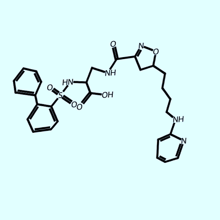 O=C(NCC(NS(=O)(=O)c1ccccc1-c1ccccc1)C(=O)O)C1=NOC(CCCCNc2ccccn2)C1